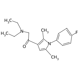 CCN(CC)CC(=O)c1cc(C)n(-c2ccc(F)cc2)c1C